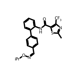 Cc1nc(C(F)(F)F)c(C(=O)Nc2ccccc2-c2ccc(/C=N\OC(C)C)cc2)s1